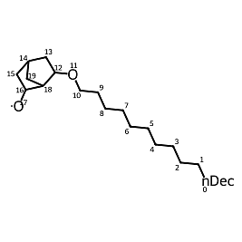 [CH2]CCCCCCCCCCCCCCCCCCCOC1CC2CC([O])C1C2